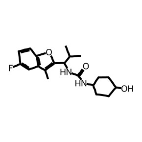 Cc1c(C(NC(=O)NC2CCC(O)CC2)C(C)C)oc2ccc(F)cc12